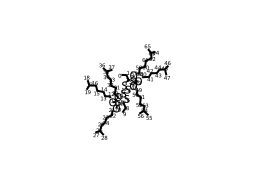 CCC(SSSSC(CC)[Si](OCCCCCC(C)C)(OCCCCCC(C)C)OCCCCCC(C)C)[Si](OCCCCCC(C)C)(OCCCCCC(C)C)OCCCCCC(C)C